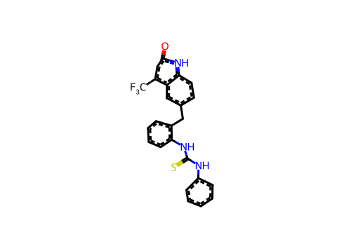 O=c1cc(C(F)(F)F)c2cc(Cc3ccccc3NC(=S)Nc3ccccc3)ccc2[nH]1